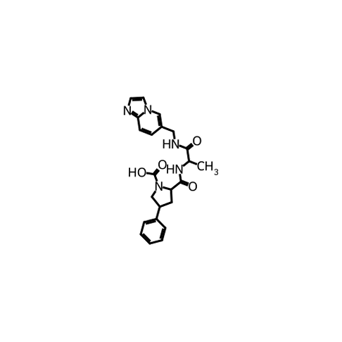 CC(NC(=O)C1CC(c2ccccc2)CN1C(=O)O)C(=O)NCc1ccc2nccn2c1